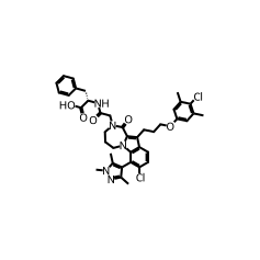 Cc1cc(OCCCc2c3n(c4c(-c5c(C)nn(C)c5C)c(Cl)ccc24)CCCN(CC(=O)N[C@@H](Cc2ccccc2)C(=O)O)C3=O)cc(C)c1Cl